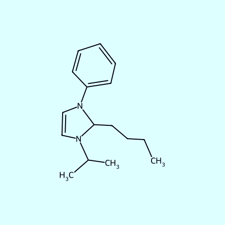 CCCCC1N(c2ccccc2)C=CN1C(C)C